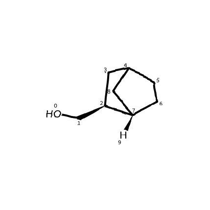 OC[C@H]1[CH]C2CC[C@H]1C2